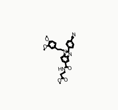 COC(=O)CCNC(=O)c1ccc2c(c1)nc(-c1ccc(C#N)cc1)n2CCc1ccc(OC)c(OC)c1